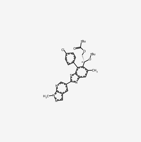 Cc1cc2nc(-c3cnc4c(cnn4C)c3)sc2c(-c2ccc(Cl)cc2)c1[C@H](COC(=O)C(C)(C)C)OC(C)(C)C